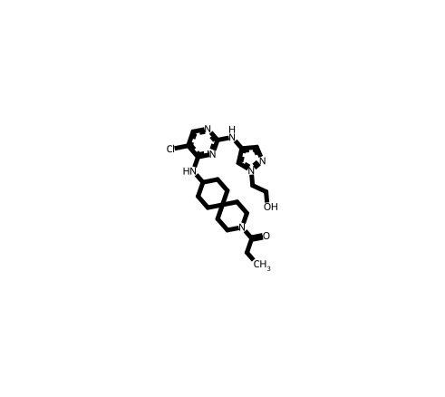 CCC(=O)N1CCC2(CCC(Nc3nc(Nc4cnn(CCO)c4)ncc3Cl)CC2)CC1